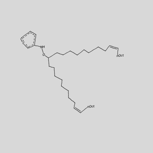 CCCCCCCC/C=C\CCCCCCCCC(CCCCCCCC/C=C\CCCCCCCC)ONc1ccccc1